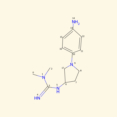 CN(C)C(=N)NC1CCN(c2ccc(N)cc2)C1